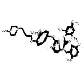 CCCN1CCN(CCCOc2ccc(Nc3nccc(N(Cc4cc(Cl)ccc4C)C(=O)Oc4c(C)cc(C)cc4C)n3)cc2OC)CC1